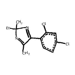 CCC1(C)N=C(C)C(c2ccc(Cl)cc2Cl)=N1